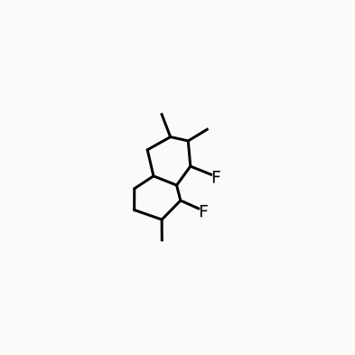 CC1CC2CCC(C)C(F)C2C(F)C1C